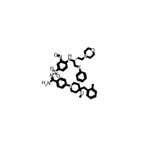 COC1(Cc2ccccc2C)CCN(c2ccc(/C(N)=N\S(=O)(=O)c3ccc(N[C@H](CCN4CCOCC4)CSc4ccccc4)c(N=O)c3)cc2)CC1